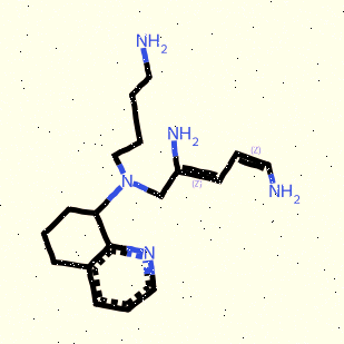 N/C=C\C=C(/N)CN(CCCCN)C1CCCc2cccnc21